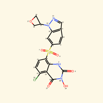 O=c1[nH]c2c(S(=O)(=O)c3ccc4cnn(C5COC5)c4c3)ccc(Cl)c2c(=O)n1O